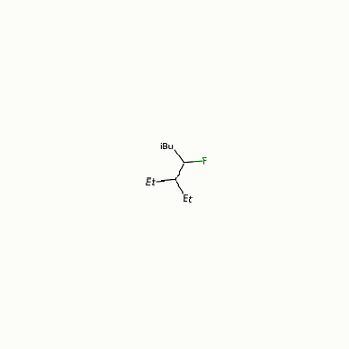 CCC(C)C(F)C(CC)CC